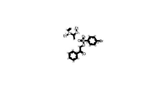 C=C.CCOC(C)OCC.O=C(COS(=O)(=O)c1ccc(Br)cc1)c1ccccc1